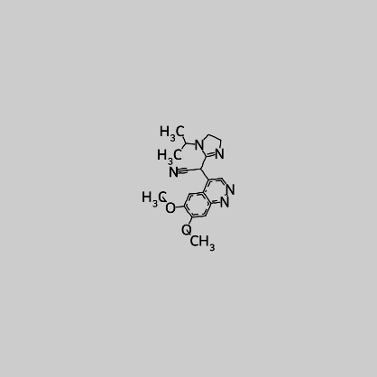 COc1cc2nncc(C(C#N)C3=NCCN3C(C)C)c2cc1OC